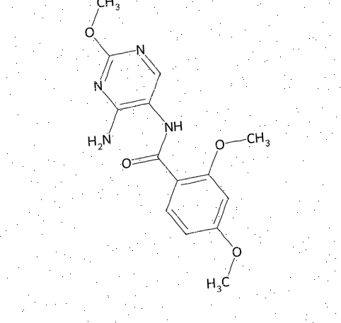 COc1ccc(C(=O)Nc2cnc(OC)nc2N)c(OC)c1